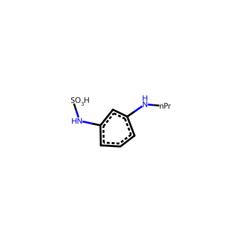 CCCNc1cccc(NS(=O)(=O)O)c1